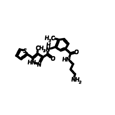 Cc1ccc(C(=O)NCCCN)cc1NC(=O)c1n[nH]c(-c2cccs2)c1C